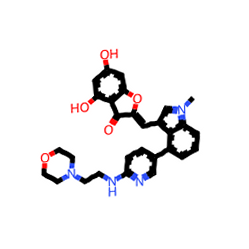 Cn1cc(C=C2Oc3cc(O)cc(O)c3C2=O)c2c(-c3ccc(NCCN4CCOCC4)nc3)cccc21